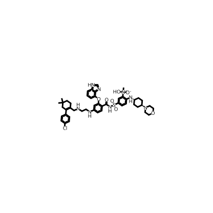 CC1(C)CCC(CNCCNc2ccc(C(=O)NS(=O)(=O)c3ccc(N[C@H]4CC[C@H](N5CCOCC5)CC4)c([N+](C)([O-])O)c3)c(Oc3cccc4[nH]cnc34)c2)=C(c2ccc(Cl)cc2)C1